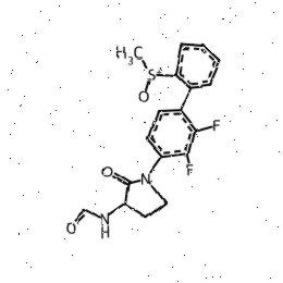 C[S+]([O-])c1ccccc1-c1ccc(N2CCC(NC=O)C2=O)c(F)c1F